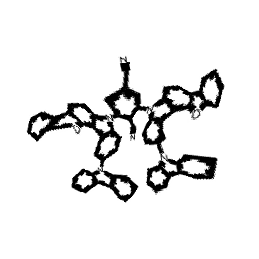 N#Cc1cc(-n2c3ccc(-n4c5ccccc5c5ccccc54)cc3c3c4oc5ccccc5c4ccc32)c(C#N)c(-n2c3ccc(-n4c5ccccc5c5ccccc54)cc3c3c4oc5ccccc5c4ccc32)c1